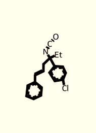 CCC(CC=Cc1ccccc1)(N=C=O)c1ccc(Cl)cc1